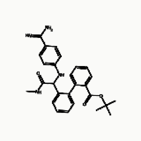 CNC(=O)C(Nc1ccc(C(=N)N)cc1)c1ccccc1-c1ccccc1C(=O)OC(C)(C)C